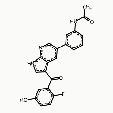 CC(=O)Nc1cccc(-c2cnc3[nH]cc(C(=O)c4cc(O)ccc4F)c3c2)c1